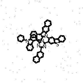 c1ccc(-n2c3ccccc3c3c(-c4nc(-c5ccc6ccccc6c5)nc(-c5cc6sc7ccccc7c6cc5-n5c6cc7ccccc7cc6c6c7ccccc7ccc65)n4)cccc32)cc1